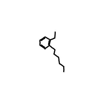 CCCCCCc1[c]cccc1CC